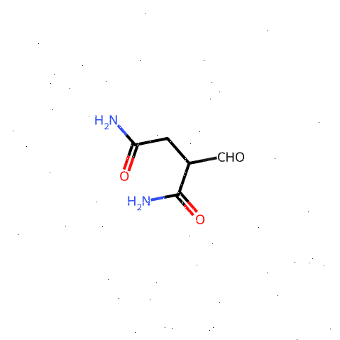 NC(=O)CC(C=O)C(N)=O